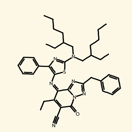 CCCCC(CC)CN(CC(CC)CCCC)c1nc(-c2ccccc2)c(/N=C2/C(CC)=C(C#N)C(=O)n3nc(Cc4ccccc4)nc32)s1